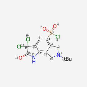 CC(C)(C)N1Cc2c(S(=O)(=O)Cl)cc3c(c2C1)NC(=O)C3(Cl)Cl